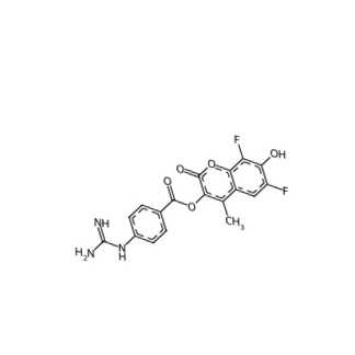 Cc1c(OC(=O)c2ccc(NC(=N)N)cc2)c(=O)oc2c(F)c(O)c(F)cc12